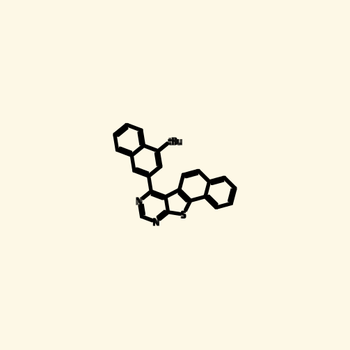 CC(C)(C)c1cc(-c2ncnc3sc4c5ccccc5ccc4c23)cc2ccccc12